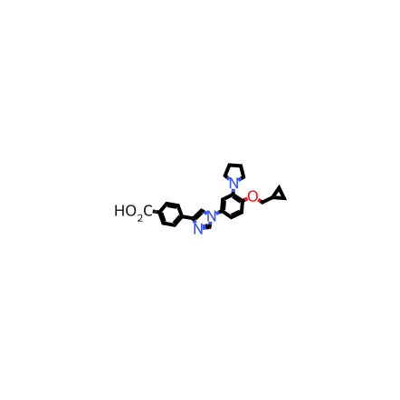 O=C(O)c1ccc(-c2cn(-c3ccc(OCC4CC4)c(N4CCCC4)c3)cn2)cc1